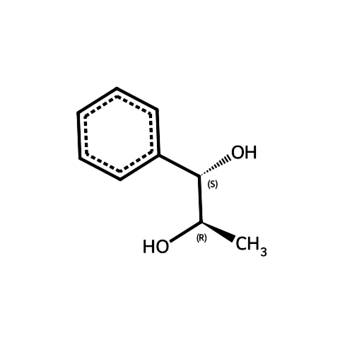 C[C@@H](O)[C@@H](O)c1ccccc1